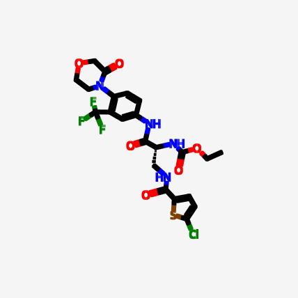 CCOC(=O)N[C@H](CNC(=O)c1ccc(Cl)s1)C(=O)Nc1ccc(N2CCOCC2=O)c(C(F)(F)F)c1